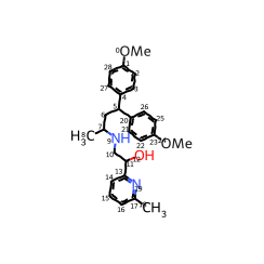 COc1ccc(C(CC(C)NCC(O)c2cccc(C)n2)c2ccc(OC)cc2)cc1